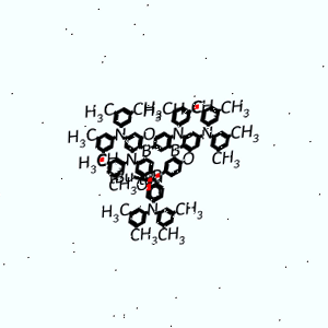 Cc1cc(C)cc(N(c2cc(C)cc(C)c2)c2cc3c4c(c2)Oc2cc5c(cc2B4c2cc(C(C)(C)C)ccc2O3)B2c3cc4c(cc3Oc3cc(N(c6cc(C)cc(C)c6)c6cc(C)cc(C)c6)cc(c32)N5c2cc(C)cc(C)c2)N(c2cc(C)cc(C)c2)c2cc(N(c3cc(C)cc(C)c3)c3cc(C)cc(C)c3)cc3c2B4c2cc(C(C)(C)C)ccc2O3)c1